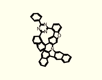 c1ccc(-c2nc(-c3ccccc3)nc(-c3cccc4oc5cc(-n6c7cc8ccccc8cc7c7c8ccccc8ccc76)c(-c6ccccc6)cc5c34)n2)cc1